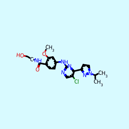 COc1cc(Nc2ncc(Cl)c(-c3ccn(C(C)C)n3)n2)ccc1C(=O)NCCO